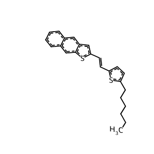 CCCCCCc1ccc(C=Cc2cc3cc4ccccc4cc3s2)s1